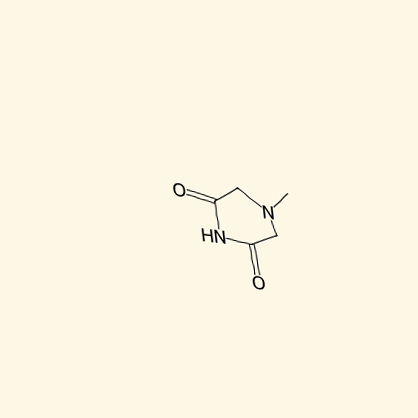 CN1CC(=O)NC(=O)C1